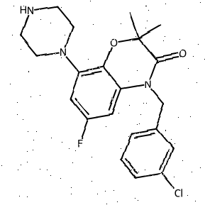 CC1(C)Oc2c(N3CCNCC3)cc(F)cc2N(Cc2cccc(Cl)c2)C1=O